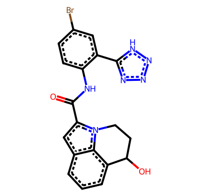 O=C(Nc1ccc(Br)cc1-c1nnn[nH]1)c1cc2cccc3c2n1CCC3O